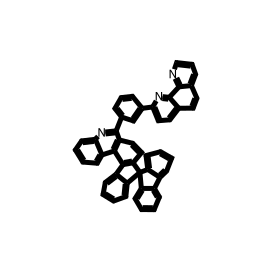 c1cc(-c2ccc3ccc4cccnc4c3n2)cc(-c2nc3ccccc3c3c4c(ccc23)C2(c3ccccc3-c3ccccc32)c2ccccc2-4)c1